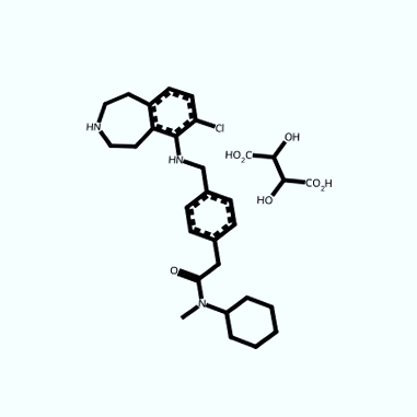 CN(C(=O)Cc1ccc(CNc2c(Cl)ccc3c2CCNCC3)cc1)C1CCCCC1.O=C(O)C(O)C(O)C(=O)O